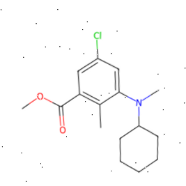 COC(=O)c1cc(Cl)cc(N(C)C2CCCCC2)c1C